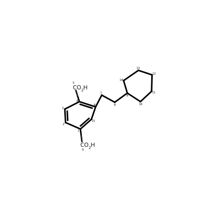 O=C(O)c1ccc(C(=O)O)c(CCC2CCCCC2)c1